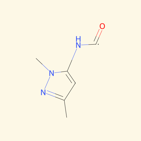 Cc1cc(N[C]=O)n(C)n1